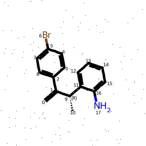 C=C(c1ccc(Br)cc1)[C@@H](C)c1ccccc1N